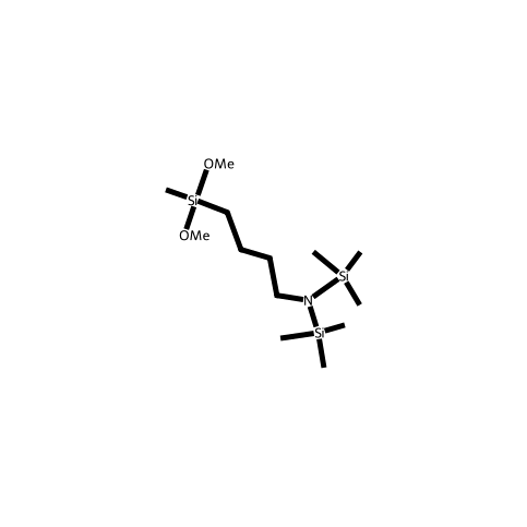 CO[Si](C)(CCCCN([Si](C)(C)C)[Si](C)(C)C)OC